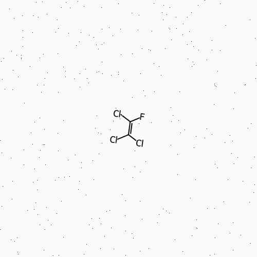 FC(Cl)=C(Cl)Cl